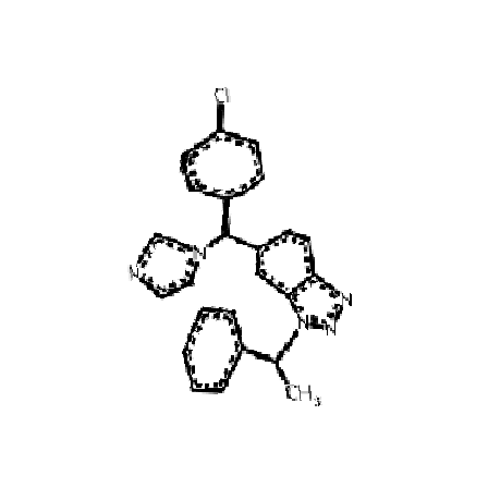 CC(c1ccccc1)n1nnc2ccc(C(c3ccc(Cl)cc3)n3ccnc3)cc21